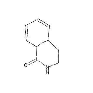 O=C1NCCC2C=CC=CC12